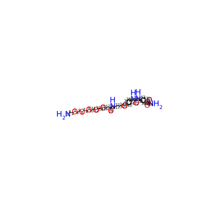 NCCOCCOCCOCCOCCOCCC(=O)NCCCCOc1ccc(NC(=O)Nc2ccc(S(N)(=O)=O)cc2)cc1